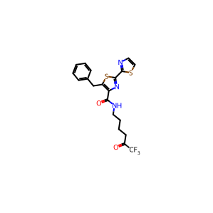 O=C(NCCCCC(=O)C(F)(F)F)c1nc(-c2nccs2)sc1Cc1ccccc1